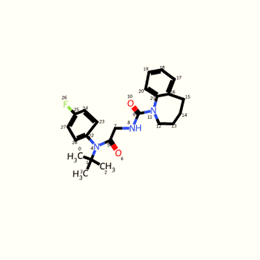 CC(C)(C)N(C(=O)CNC(=O)N1CCCCc2ccccc21)c1ccc(F)cc1